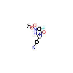 CC(C)COC(=O)Nc1ccc(F)c(C(=O)N2CCC(c3ccc(C#N)cc3)CC2)c1